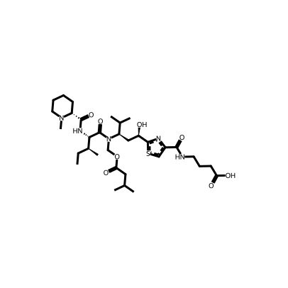 CC[C@H](C)[C@H](NC(=O)[C@H]1CCCCN1C)C(=O)N(COC(=O)CC(C)C)[C@H](C[C@@H](O)c1nc(C(=O)NCCCC(=O)O)cs1)C(C)C